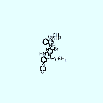 CNS(=O)(=O)c1ccccc1Nc1nc(Nc2ccc(N3CCOCC3)cc2OCCOC)ncc1Br